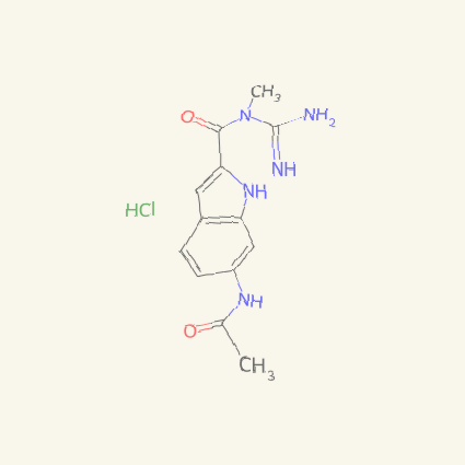 CC(=O)Nc1ccc2cc(C(=O)N(C)C(=N)N)[nH]c2c1.Cl